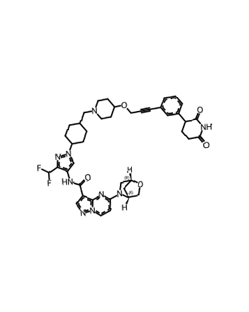 O=C1CCC(c2cccc(C#CCOC3CCN(CC4CCC(n5cc(NC(=O)c6cnn7ccc(N8C[C@H]9C[C@@H]8CO9)nc67)c(C(F)F)n5)CC4)CC3)c2)C(=O)N1